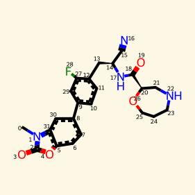 Cn1c(=O)oc2ccc(-c3ccc(C[C@@H](C#N)NC(=O)[C@H]4CNCCCO4)c(F)c3)cc21